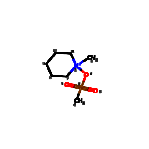 C[N+]1(OS(C)(=O)=O)CCCCC1